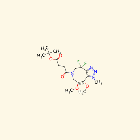 CO[C@H]1CN(C(=O)CCC(=O)OC(C)(C)C)CC(F)(F)c2nnn(C)c2[C@@H]1OC